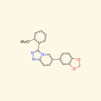 COc1ccccc1-c1nnc2ccc(-c3ccc4c(c3)OCO4)cn12